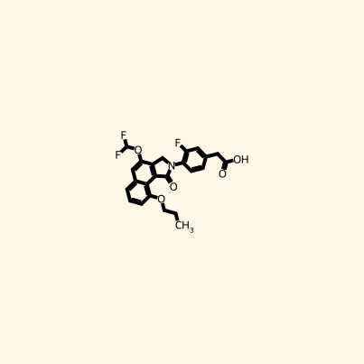 CCCOc1cccc2cc(OC(F)F)c3c(c12)C(=O)N(c1ccc(CC(=O)O)cc1F)C3